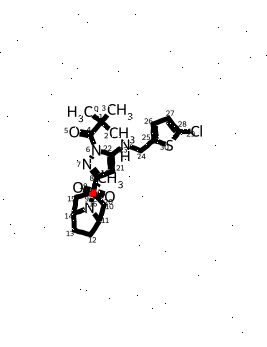 CC(C)(C)C(=O)n1nc(C2CC3CCC(C2)N3S(C)(=O)=O)cc1NCc1ccc(Cl)s1